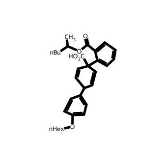 CCCCCCOc1ccc(C2C=CC(C(=O)O)(c3ccccc3C(=O)OC(C)CCCC)C=C2)cc1